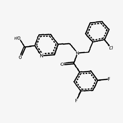 O=C(O)c1ccc(CN(Cc2ccccc2Cl)C(=O)c2cc(F)cc(F)c2)cn1